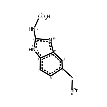 CCCSc1ccc2[nH]c(NC(=O)O)nc2c1